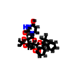 CC1(C)O[C@@H]2[C@@](CO)(CO[Si](c3ccccc3)(c3ccccc3)C(C)(C)C)O[C@@H](n3ccc(=O)[nH]c3=O)[C@]2(C)O1